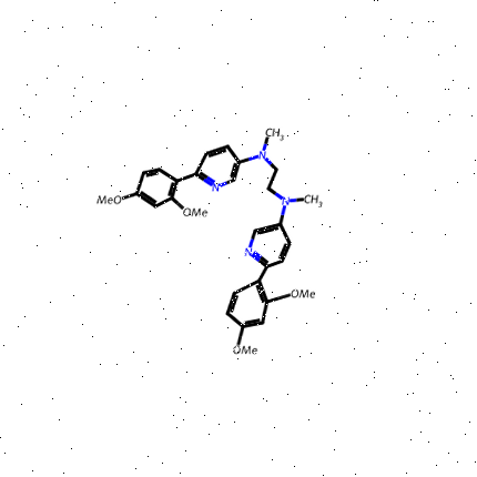 COc1ccc(-c2ccc(N(C)CCN(C)c3ccc(-c4ccc(OC)cc4OC)nc3)cn2)c(OC)c1